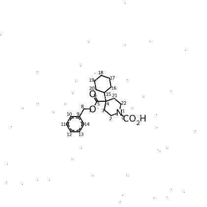 O=C(O)N1CCC(C(=O)OCc2ccccc2)(C2CCCCC2)CC1